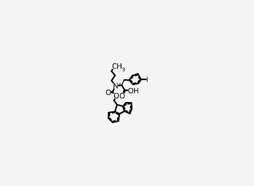 CCCCN(C(=O)OCC1c2ccccc2-c2ccccc21)[C@@H](Cc1ccc(I)cc1)C(=O)O